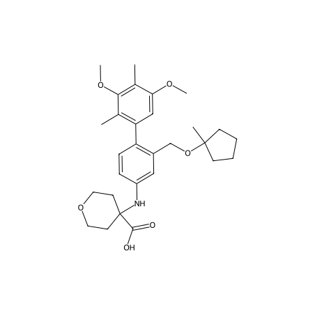 COc1cc(-c2ccc(NC3(C(=O)O)CCOCC3)cc2COC2(C)CCCC2)c(C)c(OC)c1C